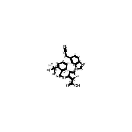 C[C@@H](Oc1cc(-n2cnc3ccc(CC#N)cc32)sc1C(=O)O)c1ccccc1C(F)(F)F